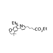 CCOC(=O)CCCCc1ccc(-c2cc3c(cc2SCC)OCCC3(C)C)nc1